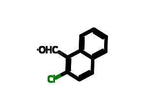 O=[C]c1c(Cl)ccc2ccccc12